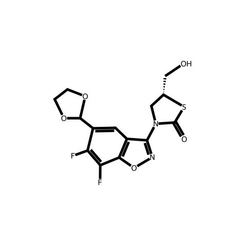 O=C1S[C@@H](CO)CN1c1noc2c(F)c(F)c(C3OCCO3)cc12